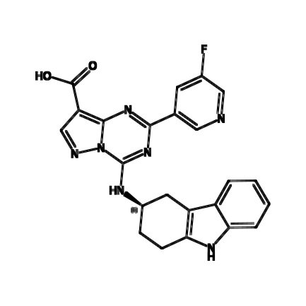 O=C(O)c1cnn2c(N[C@@H]3CCc4[nH]c5ccccc5c4C3)nc(-c3cncc(F)c3)nc12